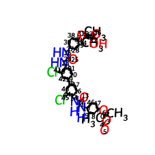 CC(C)(OC=O)Oc1ccc(NC(=O)Nc2ccc(-c3ccc(NC(=O)Nc4ccc(OC(C)(C)C(=O)O)cc4)c(Cl)c3)cc2Cl)cc1